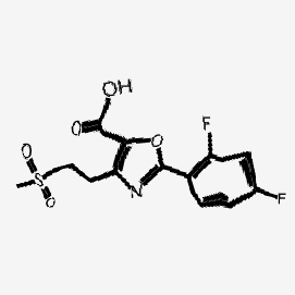 CS(=O)(=O)CCc1nc(-c2ccc(F)cc2F)oc1C(=O)O